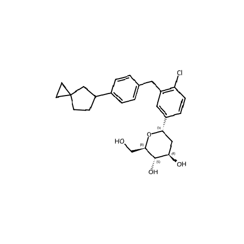 OC[C@H]1O[C@H](c2ccc(Cl)c(Cc3ccc(C4CCC5(CC5)C4)cc3)c2)C[C@@H](O)[C@@H]1O